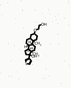 C[C@]12CCC(OCCO)CC1CC[C@@H]1[C@H]2CC[C@@]2(C)[C@H]1CCC2(O)c1ccsc1